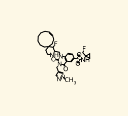 Cn1cc(Cn2c(=O)c3cc(S(=O)(=O)NC4(CF)CC4)ccc3n(CC3NCCC4(CC/C=C\CCCCCC4)C3F)c2=O)cn1